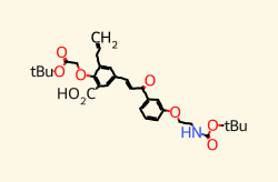 C=CCc1cc(C=CC(=O)c2cccc(OCCNC(=O)OC(C)(C)C)c2)cc(C(=O)O)c1OCC(=O)OC(C)(C)C